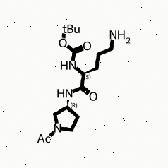 CC(=O)N1CC[C@@H](NC(=O)[C@H](CCCN)NC(=O)OC(C)(C)C)C1